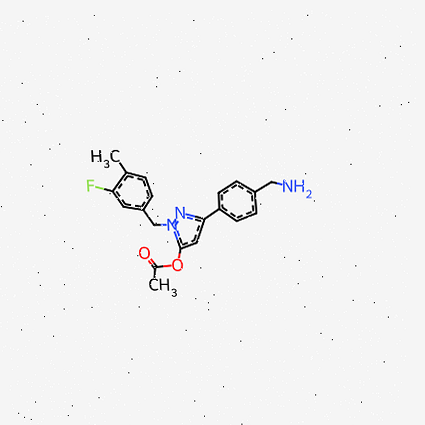 CC(=O)Oc1cc(-c2ccc(CN)cc2)nn1Cc1ccc(C)c(F)c1